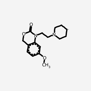 COc1ccc2c(c1)N(CCN1CC[CH]CC1)C(=O)OC2